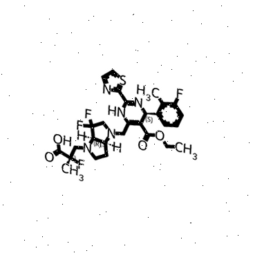 CCOC(=O)C1=C(CN2CC(F)(F)[C@H]3[C@@H]2CCN3C[C@](C)(F)C(=O)O)NC(c2nccs2)=N[C@H]1c1cccc(F)c1C